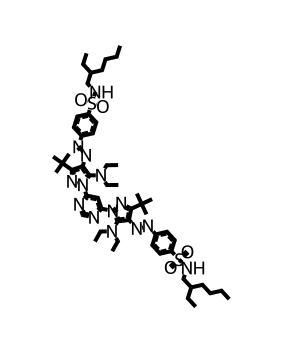 CCCCC(CC)CNS(=O)(=O)c1ccc(/N=N/c2c(C(C)(C)C)nn(-c3cc(-n4nc(C(C)(C)C)c(/N=N/c5ccc(S(=O)(=O)NCC(CC)CCCC)cc5)c4N(CC)CC)ncn3)c2N(CC)CC)cc1